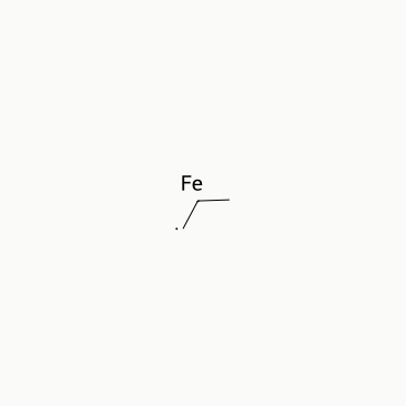 [CH2]CC.[Fe]